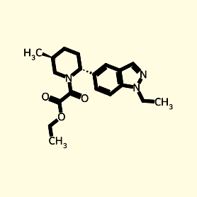 CCOC(=O)C(=O)N1C[C@@H](C)CC[C@@H]1c1ccc2c(cnn2CC)c1